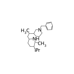 CC(C)C1CCC(CC(C)C2CCCN(Cc3ccccc3)C2)NC1C